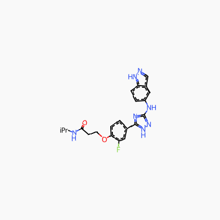 CC(C)NC(=O)CCOc1ccc(-c2nc(Nc3ccc4[nH]ncc4c3)n[nH]2)cc1F